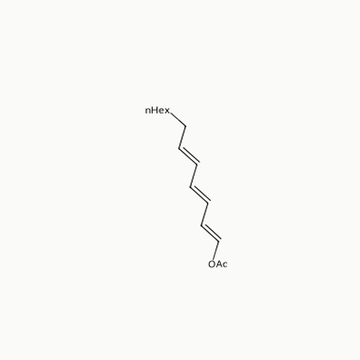 CCCCCCCC=CC=CC=COC(C)=O